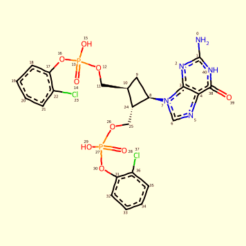 Nc1nc2c(ncn2[C@@H]2C[C@H](COP(=O)(O)Oc3ccccc3Cl)[C@H]2COP(=O)(O)Oc2ccccc2Cl)c(=O)[nH]1